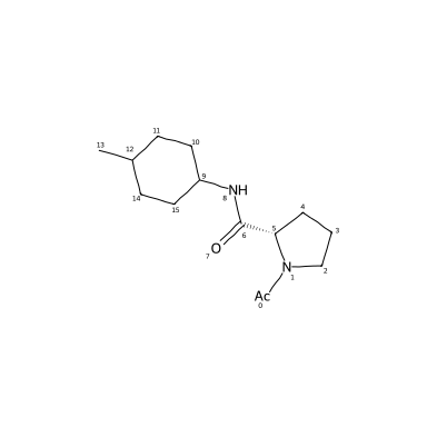 CC(=O)N1CCC[C@H]1C(=O)NC1CCC(C)CC1